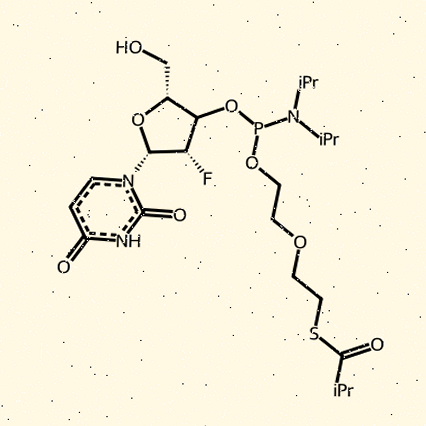 CC(C)C(=O)SCCOCCOP(OC1[C@@H](CO)O[C@@H](n2ccc(=O)[nH]c2=O)[C@H]1F)N(C(C)C)C(C)C